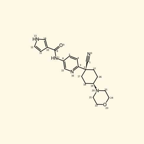 N#C[C@]1(c2ccc(NC(=O)c3cc[nH]c3)cn2)CC[C@H](N2CCOCC2)CC1